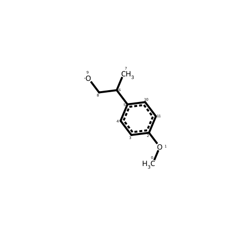 COc1ccc(C(C)C[O])cc1